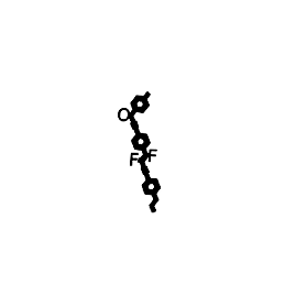 CCCc1ccc(C#CC(F)=C(F)c2ccc(C#CC(=O)c3ccc(C)cc3)cc2)cc1